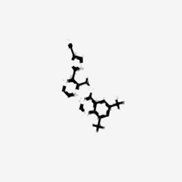 CC(Nc1ncnc2c(C(F)(F)F)cc(C(F)(F)F)cc12)c1nccnc1-c1ncc(C#N)s1